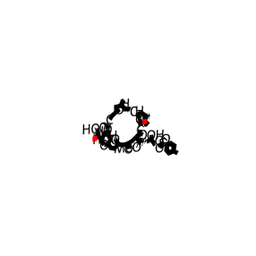 C=C1CC2CC[C@@]3(C)C[C@@H](O)C(C)[C@@H]4OC5CCC(CC(=O)CC6C(C[C@H]7O[C@@H](CC[C@@H]1O2)C[C@@H](C)C7=C)O[C@H](CC(O)COS(=O)(=O)c1ccc(C)cc1)[C@@H]6OC)O[C@@H]5C(O3)C4I